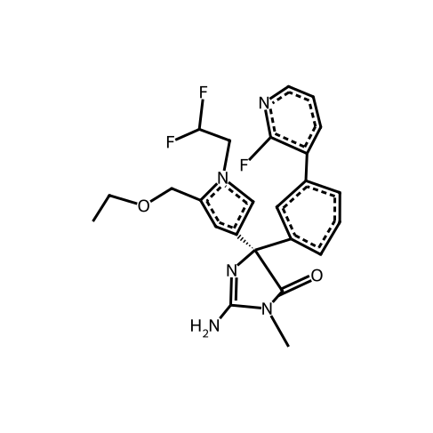 CCOCc1cc([C@@]2(c3cccc(-c4cccnc4F)c3)N=C(N)N(C)C2=O)cn1CC(F)F